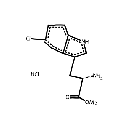 COC(=O)[C@@H](N)Cc1c[nH]c2ccc(Cl)cc12.Cl